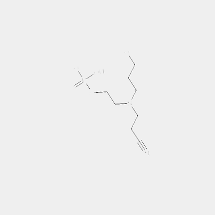 N#CCCN(CCCO)CCOP(=O)(O)O